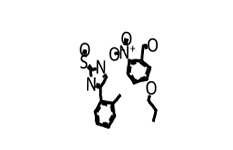 CCCOc1ccc([N+](=O)[O-])c(C=O)c1.Cc1ccccc1C1=NC(=S=O)N=C1